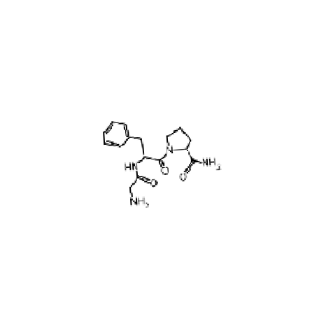 NCC(=O)N[C@@H](Cc1ccccc1)C(=O)N1CCC[C@H]1C(N)=O